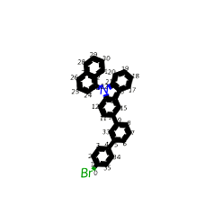 Brc1ccc(-c2cccc(-c3ccc4c(c3)c3ccccc3n4-c3cccc4ccccc34)c2)cc1